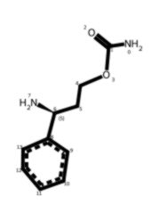 NC(=O)OCC[C@H](N)c1ccccc1